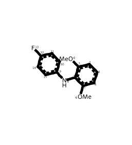 COc1cccc(OC)c1Nc1ccc(F)cc1